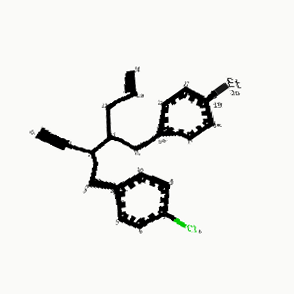 C#C[C](Cc1ccc(Cl)cc1)C(CC=C)Cc1ccc(CC)cc1